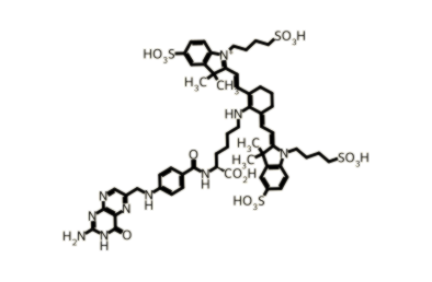 CC1(C)C(/C=C/C2=C(NCCCC[C@H](NC(=O)c3ccc(NCc4cnc5nc(N)[nH]c(=O)c5n4)cc3)C(=O)O)C(=C/C=C3/N(CCCCS(=O)(=O)O)c4ccc(S(=O)(=O)O)cc4C3(C)C)/CCC2)=[N+](CCCCS(=O)(=O)O)c2ccc(S(=O)(=O)O)cc21